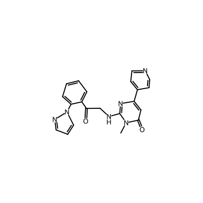 Cn1c(NCC(=O)c2ccccc2-n2cccn2)nc(-c2ccncc2)cc1=O